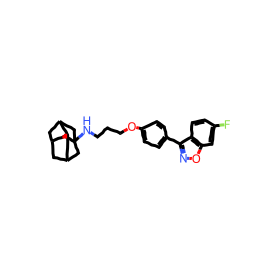 Fc1ccc2c(-c3ccc(OCCCNC45CC6CC(CC(C6)C4)C5)cc3)noc2c1